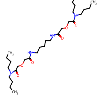 CCCCN(CCCC)C(=O)COCC(=O)NCCCCCNC(=O)COCC(=O)N(CCCC)CCCC